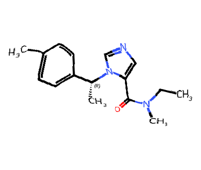 CCN(C)C(=O)c1cncn1[C@H](C)c1ccc(C)cc1